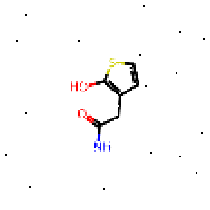 [NH]C(=O)Cc1ccsc1O